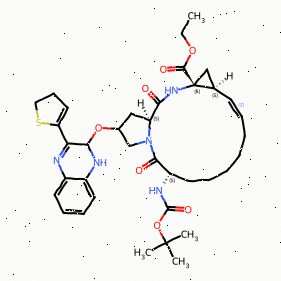 CCOC(=O)[C@@]12C[C@H]1/C=C\CCCCC[C@H](NC(=O)OC(C)(C)C)C(=O)N1CC(OC3Nc4ccccc4N=C3C3=CCCS3)C[C@H]1C(=O)N2